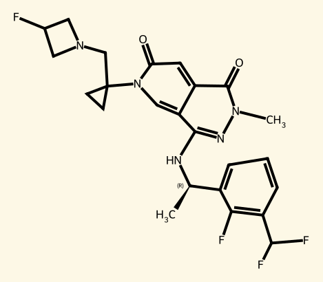 C[C@@H](Nc1nn(C)c(=O)c2cc(=O)n(C3(CN4CC(F)C4)CC3)cc12)c1cccc(C(F)F)c1F